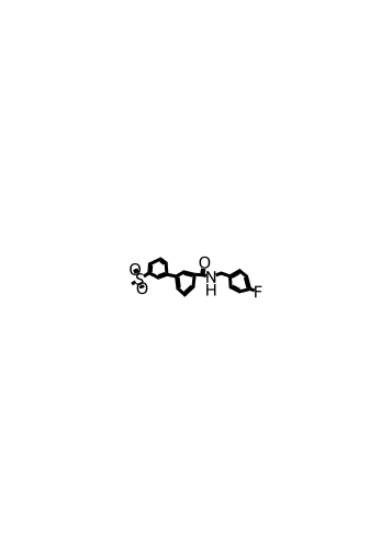 CS(=O)(=O)c1cccc(-c2cccc(C(=O)NCc3ccc(F)cc3)c2)c1